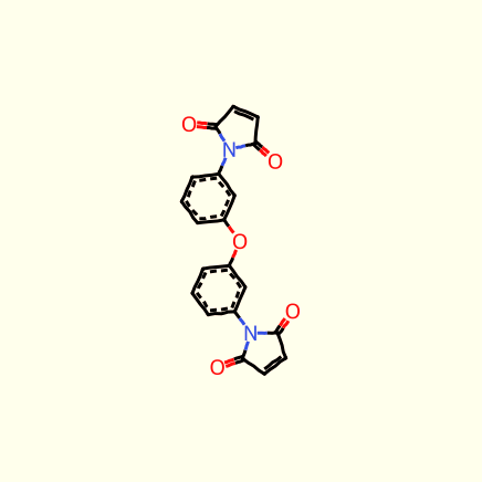 O=C1C=CC(=O)N1c1cccc(Oc2cccc(N3C(=O)C=CC3=O)c2)c1